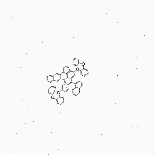 C1=CC2=C(CC1)Oc1ccccc1N2c1ccc2c(-c3cccc4ccccc34)c3cc(N4c5ccccc5Oc5ccccc54)ccc3c(-c3cc4ccccc4cc3-c3ccccc3)c2c1